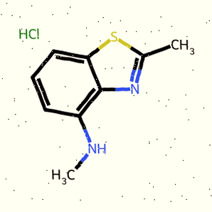 CNc1cccc2sc(C)nc12.Cl